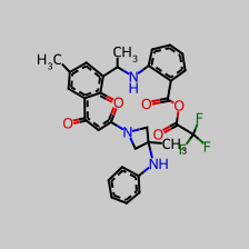 Cc1cc(C(C)Nc2ccccc2C(=O)OC(=O)C(F)(F)F)c2oc(N3CC(C)(Nc4ccccc4)C3)cc(=O)c2c1